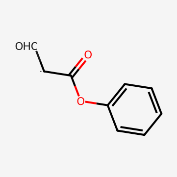 O=C[CH]C(=O)Oc1ccccc1